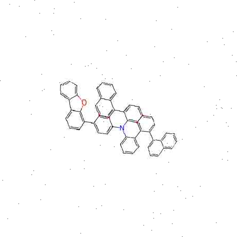 c1ccc(-c2cccc3ccccc23)c(-c2ccccc2N(c2ccc(-c3cccc4c3oc3ccccc34)cc2)c2ccccc2-c2cccc3ccccc23)c1